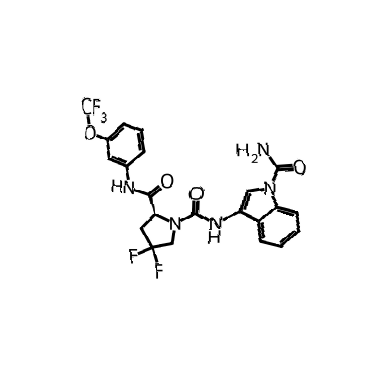 NC(=O)n1cc(NC(=O)N2CC(F)(F)C[C@H]2C(=O)Nc2cccc(OC(F)(F)F)c2)c2ccccc21